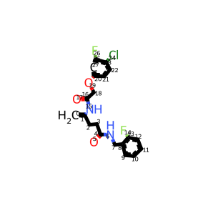 C=C(CCC(=O)NCc1ccccc1F)NC(=O)COc1ccc(Cl)c(F)c1